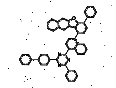 c1ccc(-c2ccc(-c3nc(-c4ccccc4)nc(-c4ccc(-c5ccc(-c6ccccc6)c6oc7cc8ccccc8cc7c56)c5ccccc45)n3)cc2)cc1